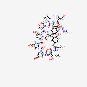 C[C@@H](O)[C@H](NC(=O)[C@@H]1C[C@@H](O)CN1C(=O)[C@@H]1C[C@@H](O)CN1C(=O)[C@@H]1C[C@@H](O)CN1C(=O)[C@H](Cc1ccc(O)cc1)NC(=O)[C@H](CO)NC(=O)[C@@H]1CCCN1C(=O)[C@H](CCCCN)NC(=O)[C@@H](N)CO)C(=O)N[C@@H](Cc1ccc(O)cc1)C(=O)O